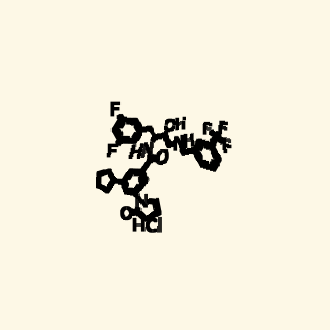 Cl.O=C(N[C@@H](Cc1cc(F)cc(F)c1)[C@H](O)CNCc1cccc(C(F)(F)F)c1)c1cc(C2CCCC2)cc(N2CCCC2=O)c1